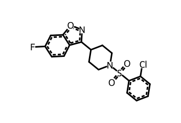 O=S(=O)(c1ccccc1Cl)N1CCC(c2noc3cc(F)ccc23)CC1